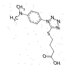 CN(C)c1ccc(-n2nnnc2SCCCC(=O)O)cc1